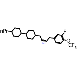 CCCC1CCC(C2CCC(C/C=C\Cc3ccc(OC(F)(F)F)c(F)c3)CC2)CC1